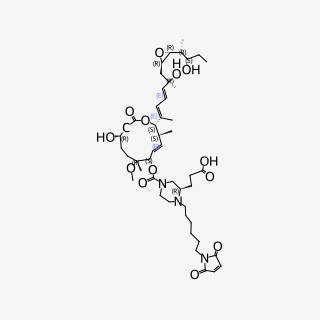 CC[C@H](O)[C@@H](C)[C@H]1O[C@@H]1C[C@@](C)(O)/C=C/C=C(\C)[C@H]1OC(=O)C[C@H](O)CC[C@@](C)(OC)[C@@H](OC(=O)N2CCN(CCCCCCN3C(=O)C=CC3=O)[C@H](CCC(=O)O)C2)/C=C/[C@@H]1C